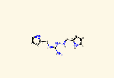 NC(=NCc1ccc[nH]1)NN=Cc1ccc[nH]1